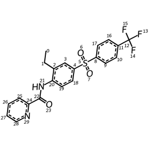 CCc1cc(S(=O)(=O)c2ccc(C(F)(F)F)cc2)ccc1NC(=O)c1ccccn1